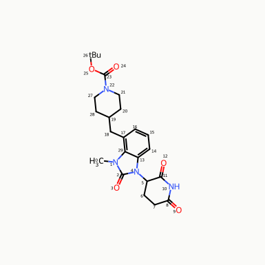 Cn1c(=O)n(C2CCC(=O)NC2=O)c2cccc(CC3CCN(C(=O)OC(C)(C)C)CC3)c21